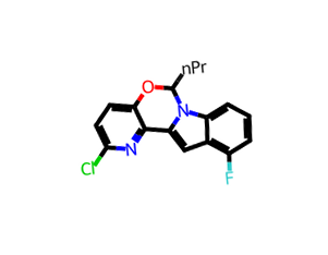 CCCC1Oc2ccc(Cl)nc2-c2cc3c(F)cccc3n21